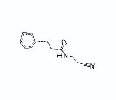 N#CCCNC(=O)CCc1ccccc1